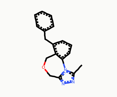 Cc1nnc2n1-c1cccc(Cc3ccccc3)c1COC2